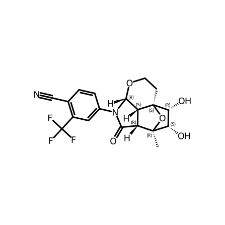 C[C@@]12O[C@]3(CCO[C@@H]4[C@H]3[C@H]1C(=O)N4c1ccc(C#N)c(C(F)(F)F)c1)[C@H](O)[C@@H]2O